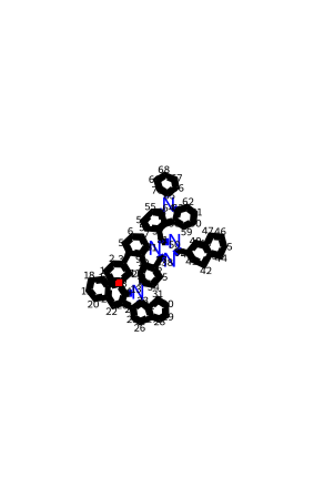 c1ccc(-c2ccccc2-c2cc(-n3c4cc5ccccc5cc4c4ccc5ccccc5c43)ccc2-c2nc(-c3ccc4ccccc4c3)nc(-c3cccc4c3c3ccccc3n4-c3ccccc3)n2)cc1